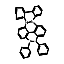 c1ccc(B2c3cccc4c3-c3c(cccc3N2c2ccccc2)B2c3ccccc3-c3ccccc3N24)cc1